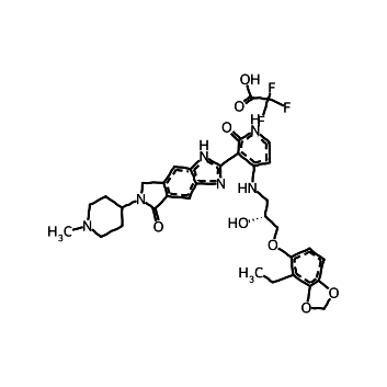 CCc1c(OC[C@H](O)CNc2cc[nH]c(=O)c2-c2nc3cc4c(cc3[nH]2)CN(C2CCN(C)CC2)C4=O)ccc2c1OCO2.O=C(O)C(F)(F)F